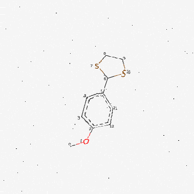 COc1ccc(C2SCCS2)cc1